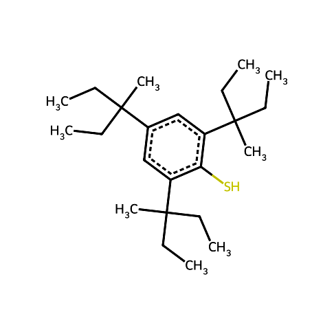 CCC(C)(CC)c1cc(C(C)(CC)CC)c(S)c(C(C)(CC)CC)c1